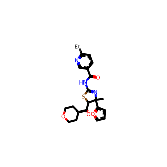 CCc1ccc(C(=O)NC2=NC(C)(c3ccco3)C(C(=O)C3CCOCC3)S2)cn1